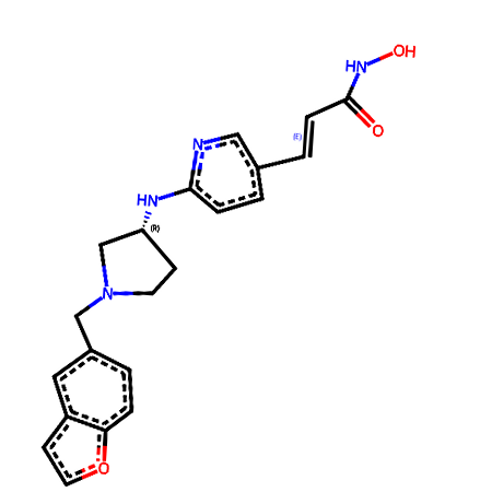 O=C(/C=C/c1ccc(N[C@@H]2CCN(Cc3ccc4occc4c3)C2)nc1)NO